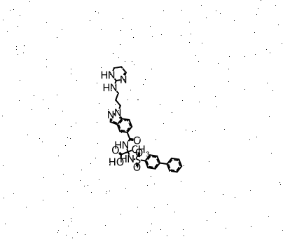 CC(NC(=O)c1ccc2c(cnn2CCCNC2N=CCCN2)c1)(NS(=O)(=O)c1ccc(-c2ccccc2)cc1)C(=O)O